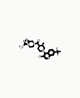 CC1CN(c2c(Cl)cnc3cc(C(C)(F)F)ccc23)CCC1C(=O)N1CCn2c(nnc2C(F)(F)F)C1